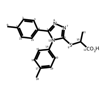 Cc1ccc(-c2nnc(SC(C)C(=O)O)n2-c2ccc(C)cc2)cc1